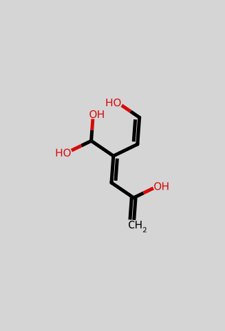 C=C(O)/C=C(\C=C/O)C(O)O